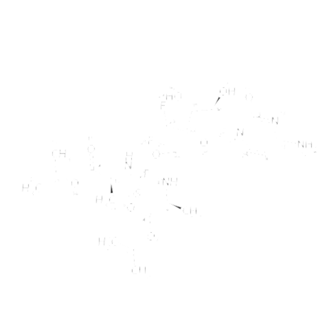 CC(C)OC(=O)[C@H](C)NP(=S)(N[C@@H](C)C(=O)OC(C)C)OC[C@@]1(C(F)F)O[C@@H](n2ccc(N)nc2=O)[C@H](O)[C@H]1O